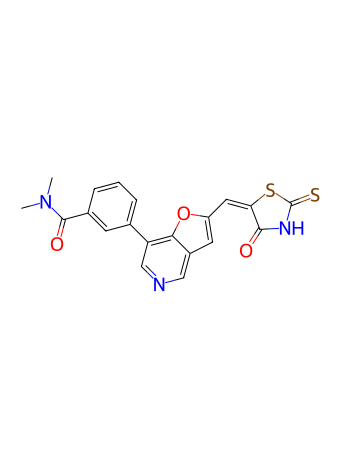 CN(C)C(=O)c1cccc(-c2cncc3cc(C=C4SC(=S)NC4=O)oc23)c1